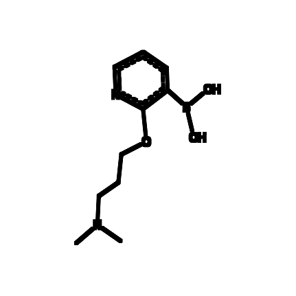 CN(C)CCCOc1ncccc1B(O)O